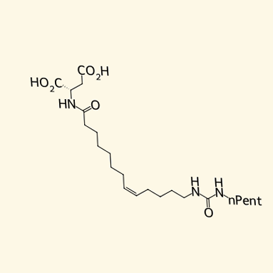 CCCCCNC(=O)NCCCC/C=C\CCCCCCC(=O)N[C@@H](CC(=O)O)C(=O)O